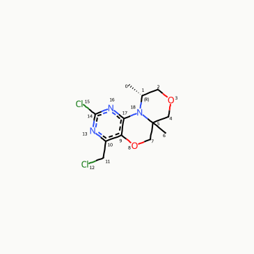 C[C@@H]1COCC2(C)COc3c(CCl)nc(Cl)nc3N12